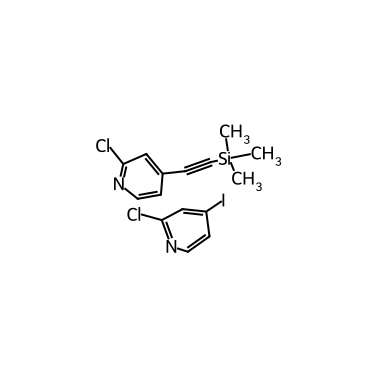 C[Si](C)(C)C#Cc1ccnc(Cl)c1.Clc1cc(I)ccn1